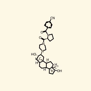 C[C@]12C[C@H](N3CCN(C(=O)[C@@H]4CCCN4C(=O)c4ccc(C#N)cc4)CC3)[C@@H](O)C[C@@H]1CC[C@@H]1[C@@H]2CC[C@]2(C)[C@@H](O)CC[C@@H]12